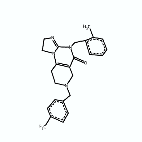 Cc1ccccc1CN1C(=O)C2=C(CCN(Cc3ccc(C(F)(F)F)cc3)C2)N2CCN=C12